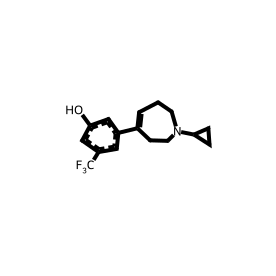 Oc1cc(C2=CCCN(C3CC3)CC2)cc(C(F)(F)F)c1